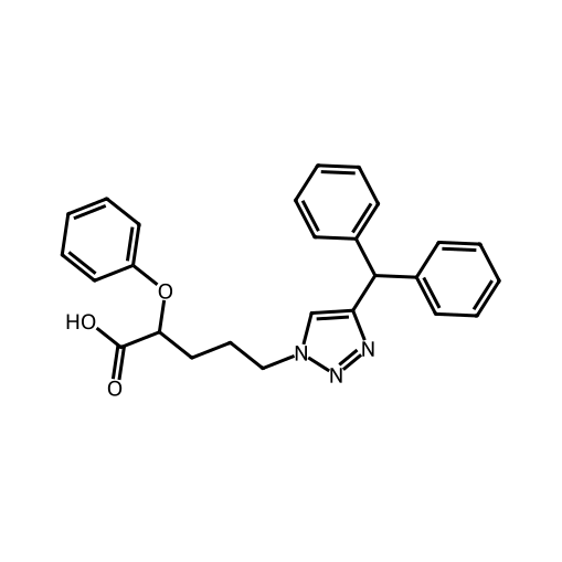 O=C(O)C(CCCn1cc(C(c2ccccc2)c2ccccc2)nn1)Oc1ccccc1